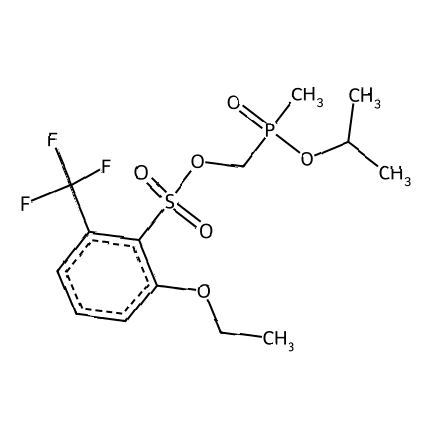 CCOc1cccc(C(F)(F)F)c1S(=O)(=O)OCP(C)(=O)OC(C)C